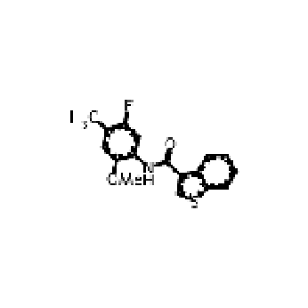 COc1cc(C)c(F)cc1NC(=O)c1csc2ccccc12